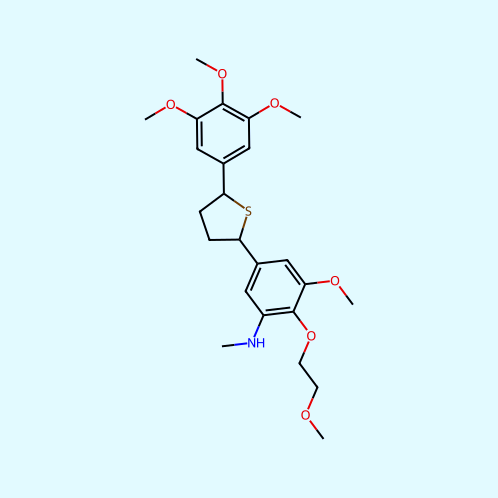 CNc1cc(C2CCC(c3cc(OC)c(OC)c(OC)c3)S2)cc(OC)c1OCCOC